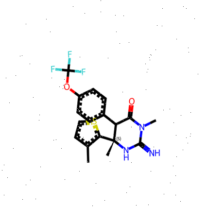 Cc1ccsc1[C@@]1(C)NC(=N)N(C)C(=O)C1c1ccc(OC(F)(F)F)cc1